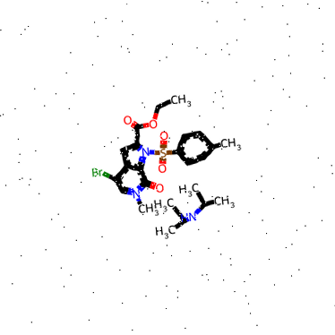 CC(C)NC(C)C.CCOC(=O)c1cc2c(Br)cn(C)c(=O)c2n1S(=O)(=O)c1ccc(C)cc1